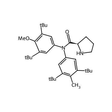 COc1c(C(C)(C)C)cc(N(C(=O)[C@H]2CCCN2)c2cc(C(C)(C)C)c(C)c(C(C)(C)C)c2)cc1C(C)(C)C